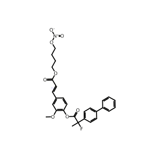 COc1cc(/C=C/C(=O)OCCCCO[N+](=O)[O-])ccc1OC(=O)C(C)(F)c1ccc(-c2ccccc2)cc1